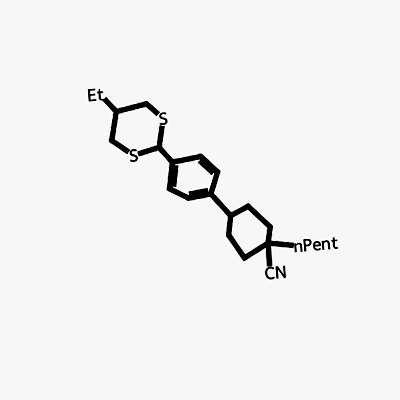 CCCCCC1(C#N)CCC(c2ccc(C3SCC(CC)CS3)cc2)CC1